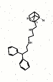 CC1(C)C2CCC(CNCCNCCC(c3ccccc3)c3ccccc3)[C@@H]1C2